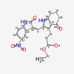 CCOC(=O)CCc1c(C=C2C(=O)Nc3ccc([N+](=O)[O-])cc32)[nH]c2c1C(=O)CCC2